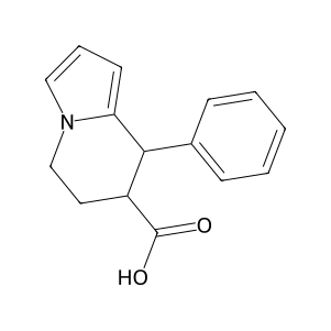 O=C(O)C1CCn2cccc2C1c1ccccc1